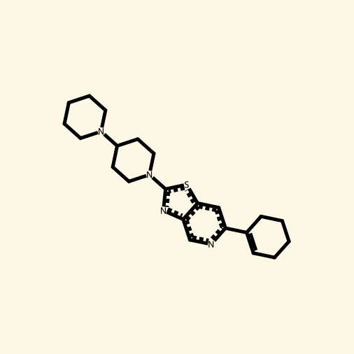 C1=C(c2cc3sc(N4CCC(N5CCCCC5)CC4)nc3cn2)CCCC1